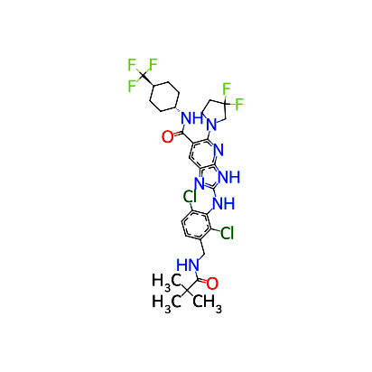 CC(C)(C)C(=O)NCc1ccc(Cl)c(Nc2nc3cc(C(=O)N[C@H]4CC[C@H](C(F)(F)F)CC4)c(N4CCC(F)(F)C4)nc3[nH]2)c1Cl